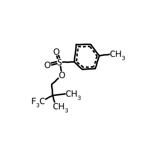 Cc1ccc(S(=O)(=O)OCC(C)(C)C(F)(F)F)cc1